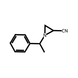 CC(c1ccccc1)N1CC1C#N